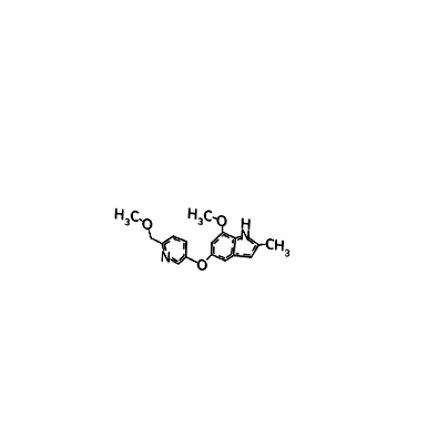 COCc1ccc(Oc2cc(OC)c3[nH]c(C)cc3c2)cn1